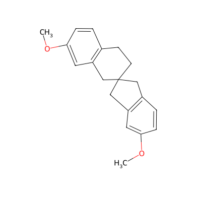 COc1ccc2c(c1)CC1(CC2)Cc2ccc(OC)cc2C1